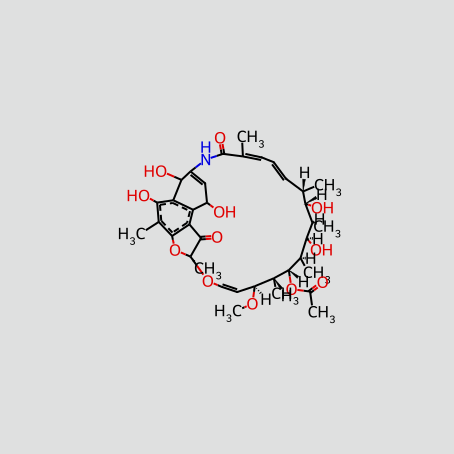 CO[C@H]1/C=C/O[C@@]2(C)Oc3c(C)c(O)c4c(c3C2=O)C(O)C=C(NC(=O)/C(C)=C\C=C\[C@H](C)[C@H](O)[C@@H](C)[C@@H](O)[C@@H](C)[C@H](OC(C)=O)[C@@H]1C)C4O